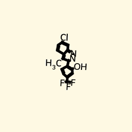 Cc1c(-c2ccc(C(F)(F)F)cc2O)nnc2cc(Cl)ccc12